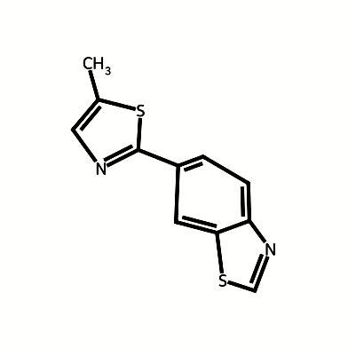 Cc1cnc(-c2ccc3ncsc3c2)s1